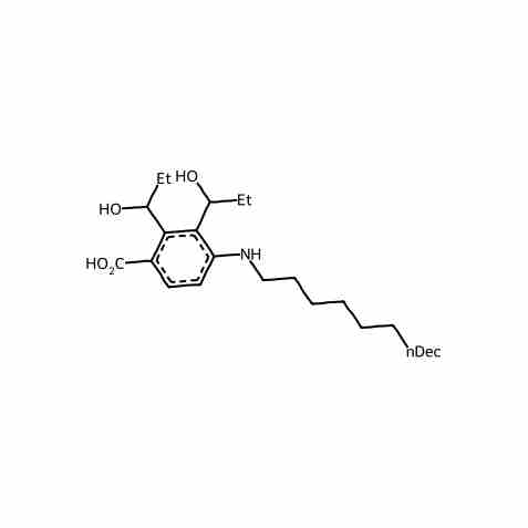 CCCCCCCCCCCCCCCCNc1ccc(C(=O)O)c(C(O)CC)c1C(O)CC